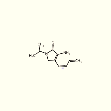 C=C/C=C\C1=C(N)C(=O)N(C(C)C)C1